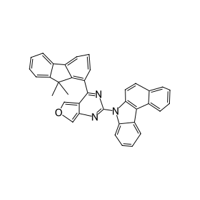 CC1(C)c2ccccc2-c2cccc(-c3nc(-n4c5ccccc5c5c6ccccc6ccc54)nc4cocc34)c21